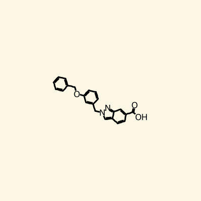 O=C(O)c1ccc2cn(Cc3cccc(OCc4ccccc4)c3)nc2c1